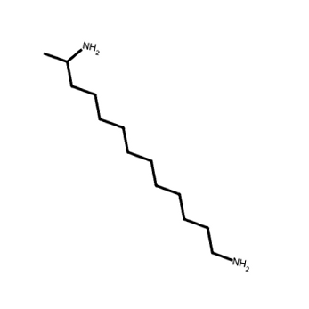 CC(N)CCCCCCCCCCCN